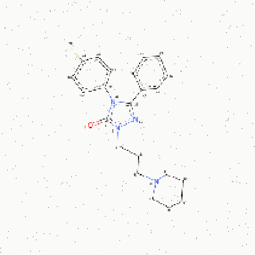 O=c1n(CCCN2CCCCC2)nc(-c2ccccc2)n1-c1ccc(F)cc1